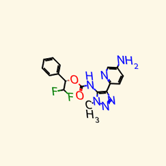 Cn1nnc(-c2ccc(N)cn2)c1NC(=O)O[C@@H](c1ccccc1)C(F)F